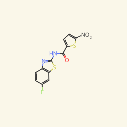 O=C(Nc1nc2ccc(F)cc2s1)c1ccc([N+](=O)[O-])s1